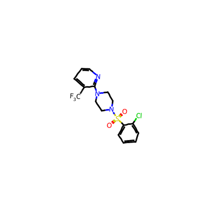 O=S(=O)(c1ccccc1Cl)N1CCN(c2ncccc2C(F)(F)F)CC1